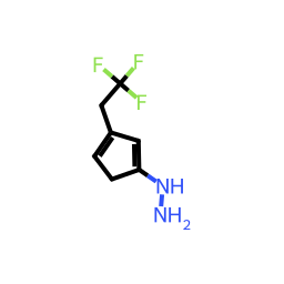 NNC1=CC(CC(F)(F)F)=CC1